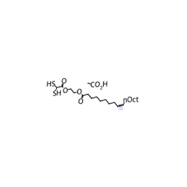 CC(=O)O.CCCCCCCC/C=C\CCCCCCCC(=O)OCCOC(=O)C(S)S